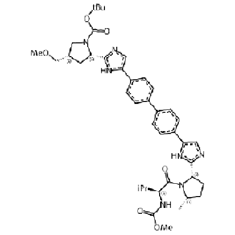 COC[C@H]1C[C@@H](c2ncc(-c3ccc(-c4ccc(-c5cnc([C@@H]6CC[C@H](C)N6C(=O)[C@@H](NC(=O)OC)C(C)C)[nH]5)cc4)cc3)[nH]2)N(C(=O)OC(C)(C)C)C1